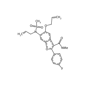 C=CCOc1cc2c(C(=O)NC)c(-c3ccc(F)cc3)oc2cc1N(CC=C)S(C)(=O)=O